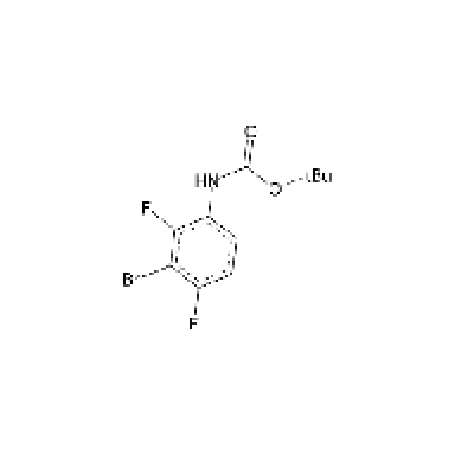 CC(C)(C)OC(=O)Nc1ccc(F)c(Br)c1F